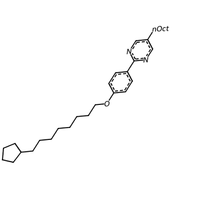 CCCCCCCCc1cnc(-c2ccc(OCCCCCCCCC3CCCC3)cc2)nc1